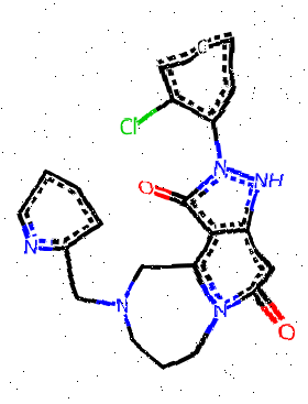 O=c1c2c3n(c(=O)cc2[nH]n1-c1ccccc1Cl)CCCN(Cc1ccccn1)C3